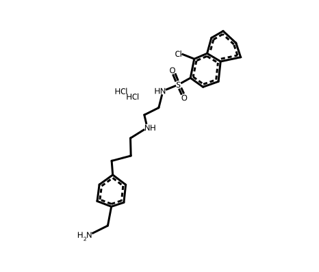 Cl.Cl.NCc1ccc(CCCNCCNS(=O)(=O)c2ccc3ccccc3c2Cl)cc1